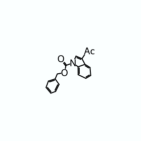 CC(=O)c1cn(C(=O)OCc2ccccc2)c2ccccc12